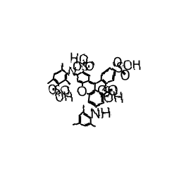 Cc1cc(C)c(Nc2ccc3c(-c4ccc(S(=O)(=O)O)cc4S(=O)(=O)O)c4cc(S(=O)(=O)O)/c(=N/c5c(C)cc(C)c(S(=O)(=O)O)c5C)cc-4oc3c2)c(C)c1